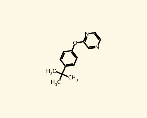 CC(C)(C)c1ccc(Oc2cnccn2)cc1